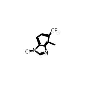 Cc1c(C(F)(F)F)ccc2c1n[c]n2Cl